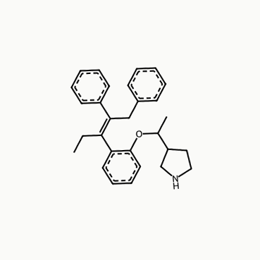 CC/C(=C(/Cc1ccccc1)c1ccccc1)c1ccccc1OC(C)C1CCNC1